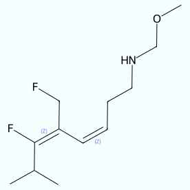 COCNCC/C=C\C(CF)=C(\F)C(C)C